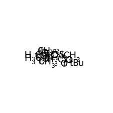 CC(C)(C)OC(=O)C(C)(C)Sc1ccc(B2OC(C)(C)C(C)(C)O2)cc1